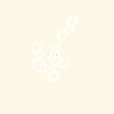 c1ccc(C(c2ccccc2)(c2ccccc2)c2ccccc2-c2nc(-c3ccc4c(c3)sc3ccccc34)nc(-n3c4ccccc4c4ccccc43)n2)cc1